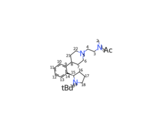 CC(=O)N(C)CCN1CCC(c2ccccc2[C@H]2CCCN2C(C)(C)C)CC1